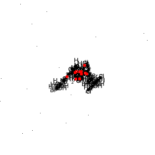 C1CNCCN1.CCOC(N)=O.CC[C@]1(O)C[C@H]2CN(CCc3c([nH]c4ccccc34)[C@@](C(=O)OC)(c3cc4c(cc3OC)N(C)[C@H]3[C@@](O)(C(N)=O)[C@H](O)[C@]5(CC)C=CCN6CC[C@]43[C@@H]65)C2)C1.CN(C)/N=N/c1[nH]cnc1C(N)=O.OC(CBr)C(O)C(O)C(O)CBr.OC(CBr)C(O)C(O)C(O)CBr.O[C@@H]([C@H](O)[C@H](O)CNCCCl)[C@H](O)CNCCCl